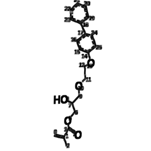 C=C(C)C(=O)OCC(O)COCCOc1ccc(-c2ccccc2)cc1